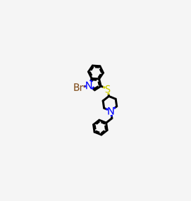 Brn1cc(SC2CCN(Cc3ccccc3)CC2)c2ccccc21